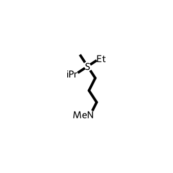 CCS(C)(CCCNC)C(C)C